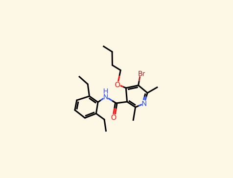 CCCCOc1c(Br)c(C)nc(C)c1C(=O)Nc1c(CC)cccc1CC